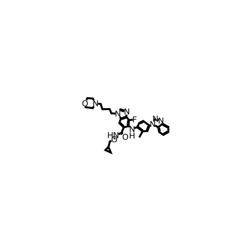 Cc1cc(-n2nnc3ccccc32)ccc1Nc1c(C(=O)NOCC2CC2)cc2c(ncn2CCCCN2CCOCC2)c1F